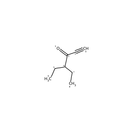 C#CC(=O)C(CC)CC